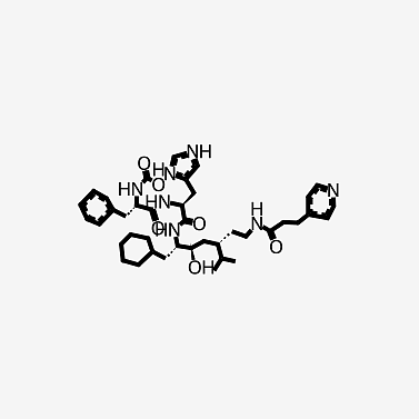 CC(C)[C@@H](CCNC(=O)CCc1ccncc1)C[C@@H](O)[C@H](CC1CCCCC1)NC(=O)[C@H](Cc1c[nH]cn1)NC(=O)[C@H](Cc1ccccc1)NC(=O)O